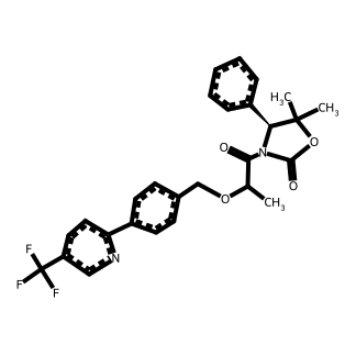 CC(OCc1ccc(-c2ccc(C(F)(F)F)cn2)cc1)C(=O)N1C(=O)OC(C)(C)[C@@H]1c1ccccc1